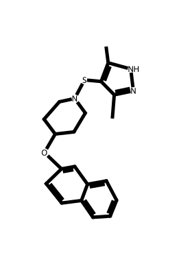 Cc1n[nH]c(C)c1SN1CCC(Oc2ccc3ccccc3c2)CC1